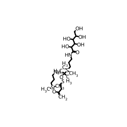 C=C(CCSOC(C)(C)S(C)(C)CCCNC(=O)C(O)C(O)C(O)C(O)CO)O[Si](C)(C)CCCN